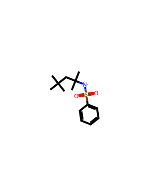 CC(C)(C)CC(C)(C)[N]S(=O)(=O)c1ccccc1